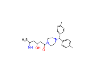 BC(=N)CC(O)CC(=O)N1CCN(C(c2ccc(C)cc2)c2ccc(C)cc2)CC1